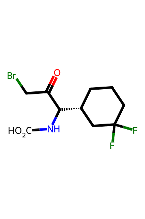 O=C(O)NC(C(=O)CBr)[C@@H]1CCCC(F)(F)C1